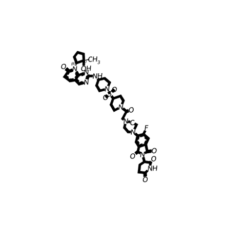 C[C@@]1(O)CCC[C@H]1n1c(=O)ccc2cnc(NC3CCN(S(=O)(=O)C4CCN(C(=O)CN5CCN(c6cc7c(cc6F)C(=O)N(C6CCC(=O)NC6=O)C7=O)CC5)CC4)CC3)nc21